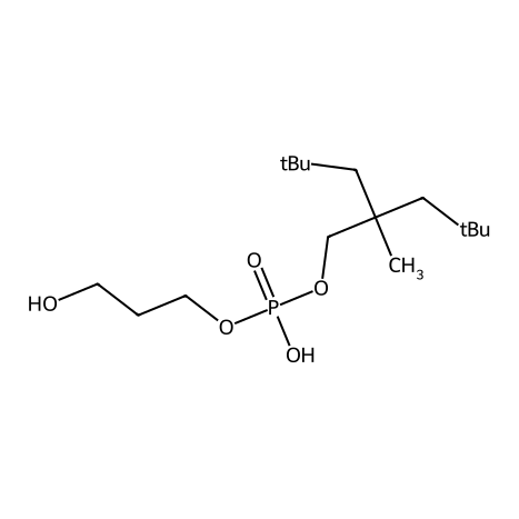 CC(C)(C)CC(C)(COP(=O)(O)OCCCO)CC(C)(C)C